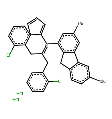 CC(C)(C)c1ccc2c(c1)-c1cc(C(C)(C)C)c[c]([Zr]([C]3=CC=CC3)=[C](Cc3ccccc3Cl)Cc3ccccc3Cl)c1C2.Cl.Cl